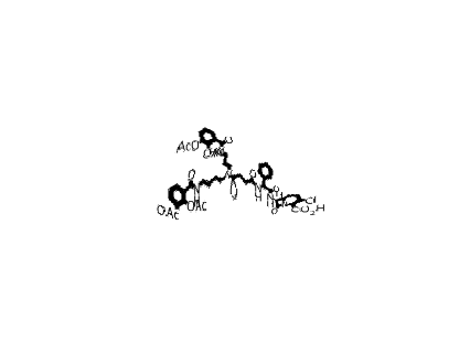 CC(=O)Oc1cccc(C(=O)NCCCCN(CCCNC(=O)c2cccc(OC(C)=O)c2OC(C)=O)C(=O)CCC(=O)N[C@H](C(=O)N[C@@H]2C(=O)N3C(C(=O)O)=C(Cl)CC[C@H]23)c2ccccc2)c1OC(C)=O